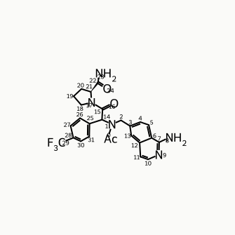 CC(=O)N(Cc1ccc2c(N)nccc2c1)C(C(=O)N1CCC[C@H]1C(N)=O)c1ccc(C(F)(F)F)cc1